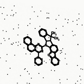 CC1(C)c2ccccc2C2C1c1ccc3c(oc4ccccc43)c1N2c1nc(-c2ccccc2)c2ccc3ccccc3c2n1